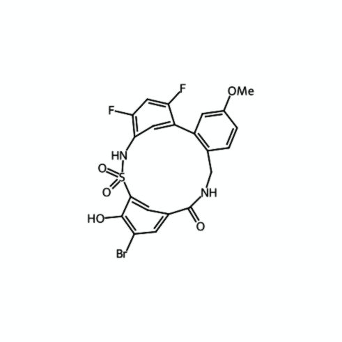 COc1ccc2c(c1)-c1cc(c(F)cc1F)NS(=O)(=O)c1cc(cc(Br)c1O)C(=O)NC2